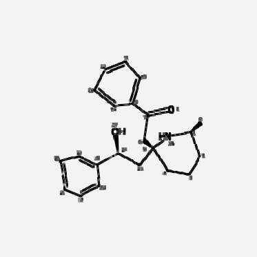 C[C@H]1CCC[C@](CC(=O)c2ccccc2)(C[C@H](O)c2ccccc2)N1